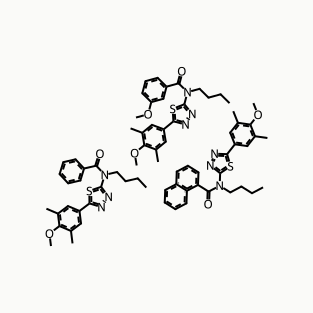 CCCCN(C(=O)c1cccc(OC)c1)c1nnc(-c2cc(C)c(OC)c(C)c2)s1.CCCCN(C(=O)c1cccc2ccccc12)c1nnc(-c2cc(C)c(OC)c(C)c2)s1.CCCCN(C(=O)c1ccccc1)c1nnc(-c2cc(C)c(OC)c(C)c2)s1